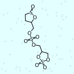 O=S1CCC(COS(=O)(=O)OCC2COS(=O)(=O)O2)O1